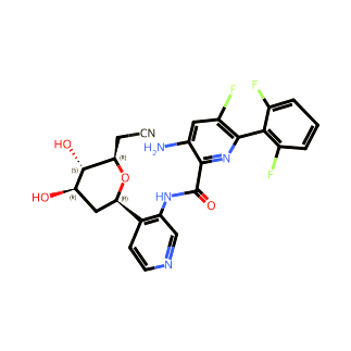 N#CC[C@H]1O[C@@H](c2ccncc2NC(=O)c2nc(-c3c(F)cccc3F)c(F)cc2N)C[C@@H](O)[C@@H]1O